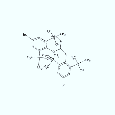 [CH3][Al][CH](Oc1c(C(C)(C)C)cc(Br)cc1C(C)(C)C)Oc1c(C(C)(C)C)cc(Br)cc1C(C)(C)C